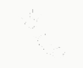 O=C(Nc1cc(Cl)c(O)c(Cl)c1)NC1Cc2ccccc2C1